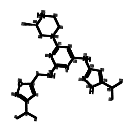 CC(C)c1cc(CNc2nc(Nc3cc(C(C)C)[nH]n3)cc(N3CCN[C@@H](C)C3)n2)on1